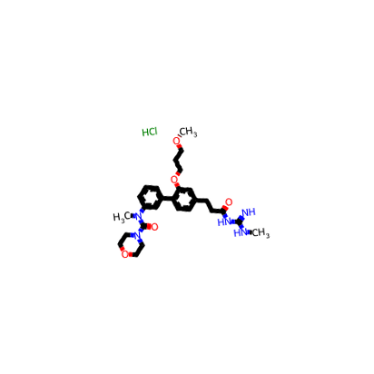 CNC(=N)NC(=O)CCc1ccc(-c2cccc(N(C)C(=O)N3CCOCC3)c2)c(OCCCOC)c1.Cl